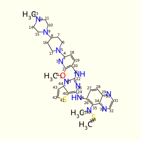 COc1nc(N2CCC(N3CCN(C)CC3)CC2)ccc1Nc1nc(Nc2ccc3nccnc3c2N(C)SC)c2sccc2n1